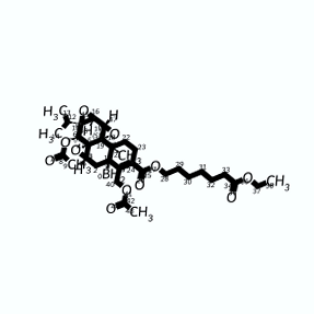 B[C@@]12C[C@@H]3O[C@@]34[C@H](OC(C)=O)[C@@]3(C(C)C)O[C@H]3[C@@H]3O[C@@]34[C@@]1(C)CCC(C(=O)OCCCCCCC(=O)OCC)=C2COC(C)=O